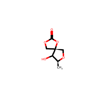 C[C@@H]1OC[C@]2(COC(=O)O2)C1O